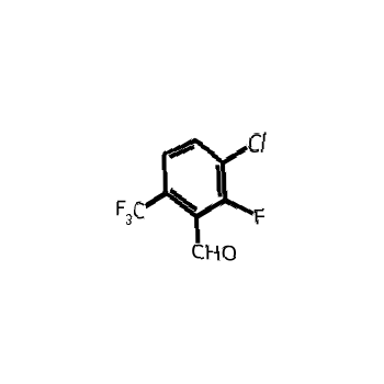 O=Cc1c(C(F)(F)F)ccc(Cl)c1F